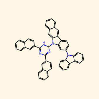 c1ccc2cc(C3=NC(n4c5cc(-n6c7ccccc7c7ccccc76)ccc5c5cc6ccccc6cc54)NC(c4ccc5ccccc5c4)=N3)ccc2c1